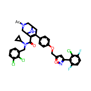 CC(=O)N1CC2CC(c3ccc(OCc4cc(-c5c(F)ccc(F)c5Cl)no4)cc3)=C(C(=O)N(Cc3cccc(Cl)c3Cl)C3CC3)C(C1)N2